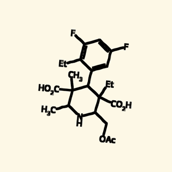 CCc1c(F)cc(F)cc1C1C(C)(C(=O)O)C(C)NC(COC(C)=O)C1(CC)C(=O)O